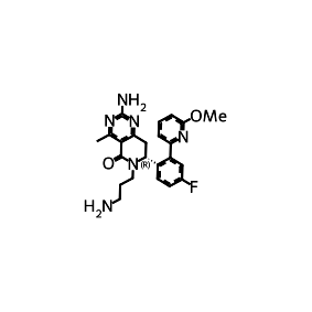 COc1cccc(-c2cc(F)ccc2[C@H]2Cc3nc(N)nc(C)c3C(=O)N2CCCN)n1